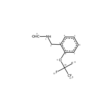 O=[C]NCc1ccccc1OC(F)(F)C(F)(F)F